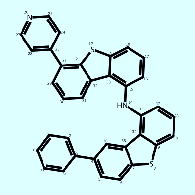 c1ccc(-c2ccc3sc4cccc(Nc5cccc6sc7c(-c8ccncc8)cccc7c56)c4c3c2)cc1